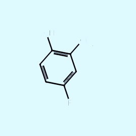 [CH2]c1cc(F)ccc1C